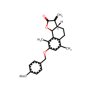 C=C1C(=O)OC2c3c(C)c(OCc4ccc(OC)cc4)cc(C)c3CC[C@@H]12